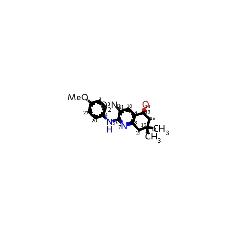 COc1ccc(Nc2nc3c(cc2[N+](=O)[O-])C(=O)CC(C)(C)C3)cc1